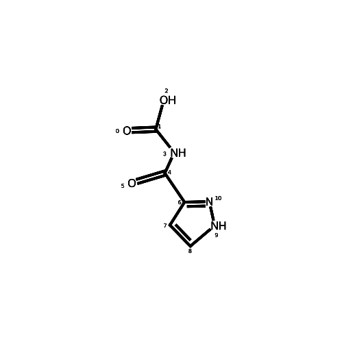 O=C(O)NC(=O)c1cc[nH]n1